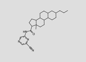 CCCC1CCC2C(CCC3C2CCC2(C)C(C(=O)Nc4cncc(C#N)n4)CCC32)C1